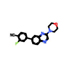 N#Cc1ccc(-c2ccc3ncc(N4CCOCC4)nc3c2)cc1F